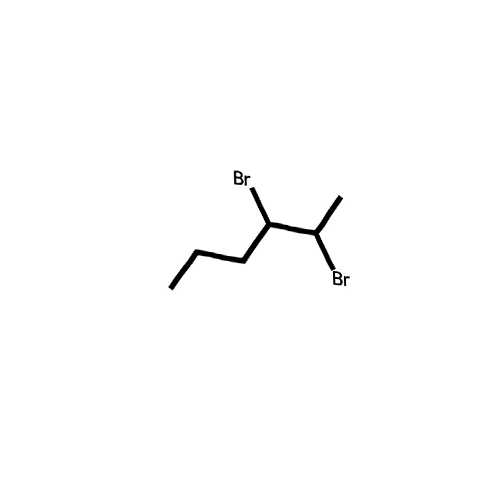 CCCC(Br)C(C)Br